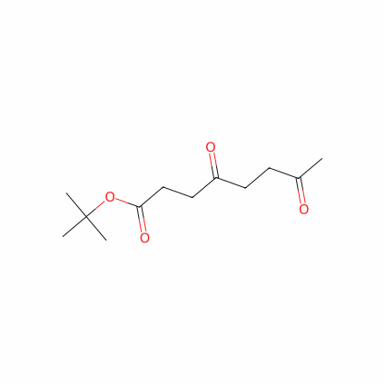 CC(=O)CCC(=O)CCC(=O)OC(C)(C)C